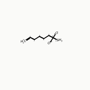 C=CCCCCC([SiH3])(Cl)Cl